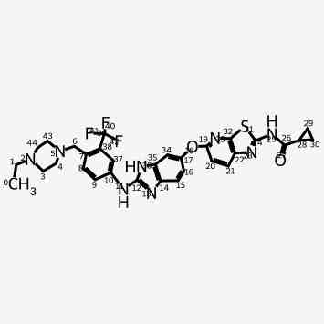 CCN1CCN(Cc2ccc(Nc3nc4ccc(Oc5ccc6nc(NC(=O)C7CC7)sc6n5)cc4[nH]3)cc2C(F)(F)F)CC1